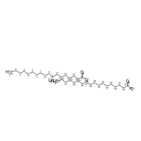 CCCCCCCCCCCCCCCCCC(=O)[O-].CCCCCCCCCCCCCCCCCC(=O)[O-].[Li+].[Li+]